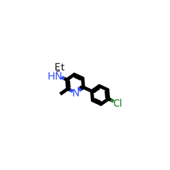 CCNc1ccc(-c2ccc(Cl)cc2)nc1C